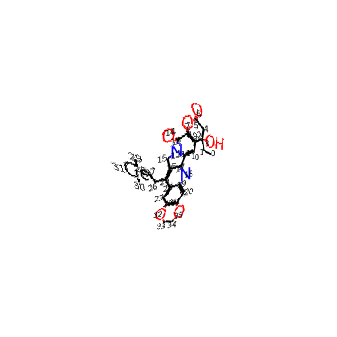 CC[C@@]1(O)CC(=O)Oc2c1cc1n(c2=O)Cc2c-1nc1cc3c(cc1c2C[CH2][Ge]([CH3])([CH3])[CH3])OCCO3